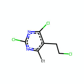 CCc1nc(Cl)nc(Cl)c1CCCl